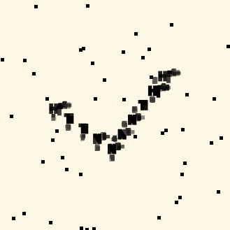 [Hf+4].[Hf+4].[Hf+4].[N-3].[N-3].[N-3].[N-3].[Ti].[Ti].[Ti]